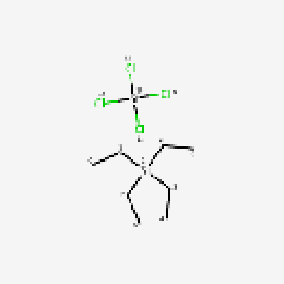 CC[Si](CC)(CC)CC.Cl[Si](Cl)(Cl)Cl